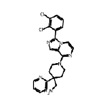 NCC1(c2ccccn2)CCN(c2nccn3c(-c4cccc(Cl)c4Cl)ncc23)CC1